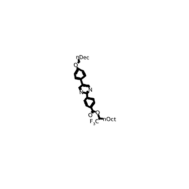 CCCCCCCCCCCOc1ccc(-c2cnc(-c3ccc(C(=O)OC(CCCCCCCC)C(F)(F)F)cc3)nc2)cc1